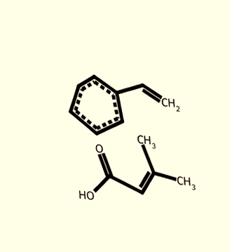 C=Cc1ccccc1.CC(C)=CC(=O)O